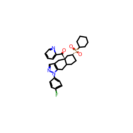 O=C(c1ccccn1)[C@]12Cc3cnn(-c4ccc(F)cc4)c3CC1CC[C@@H](S(=O)(=O)C1CCCCC1)C2